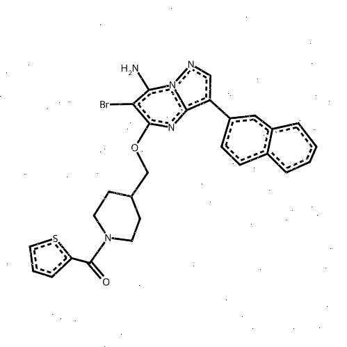 Nc1c(Br)c(OCC2CCN(C(=O)c3cccs3)CC2)nc2c(-c3ccc4ccccc4c3)cnn12